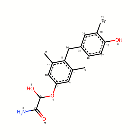 Cc1cc(OC(O)C(N)=O)cc(C)c1Cc1ccc(O)c(C(C)C)c1